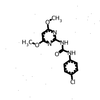 COc1cc(OC)nc(NC(=O)Nc2ccc(Cl)cc2)n1